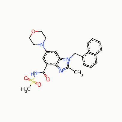 Cc1nc2c(C(=O)NS(C)(=O)=O)cc(N3CCOCC3)cc2n1Cc1cccc2ccccc12